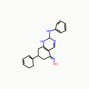 O/N=C1\CC(C2=CC=CCC2)CC2=C1C=NC(Nc1ccccc1)N2